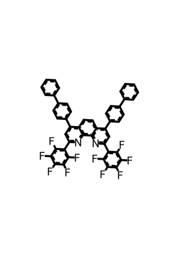 Fc1c(F)c(F)c(-c2cc(-c3ccc(-c4ccccc4)cc3)c3ccc4c(-c5ccc(-c6ccccc6)cc5)cc(-c5c(F)c(F)c(F)c(F)c5F)nc4c3n2)c(F)c1F